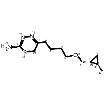 C[C@@H]1C[C@H]1COCCCCC1=NN=C(N)SC1